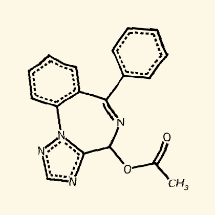 CC(=O)OC1N=C(c2ccccc2)c2ccccc2-n2ncnc21